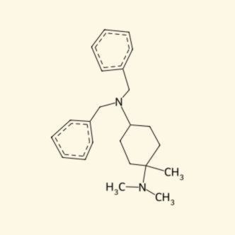 CN(C)C1(C)CCC(N(Cc2ccccc2)Cc2ccccc2)CC1